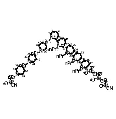 CCC[n+]1ccccc1.CCC[n+]1ccccc1.CCC[n+]1ccccc1.CCC[n+]1ccccc1.CCC[n+]1ccccc1.CCC[n+]1ccccc1.CCC[n+]1ccccc1.CCC[n+]1ccccc1.N#CB([O-])[O-].N#CB([O-])[O-].N#CB([O-])[O-].N#CB([O-])[O-]